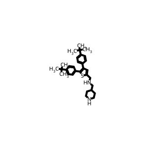 CC(C)(C)c1ccc(-c2cc(CNCC3CCNCC3)sc2-c2ccc(C(C)(C)C)cc2)cc1